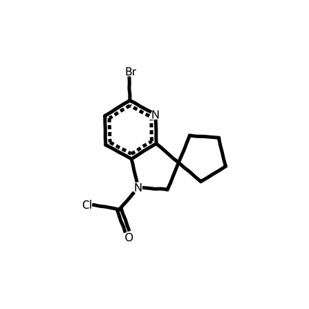 O=C(Cl)N1CC2(CCCC2)c2nc(Br)ccc21